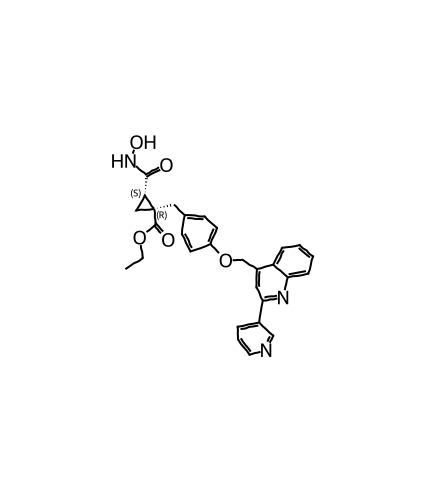 CCOC(=O)[C@@]1(Cc2ccc(OCc3cc(-c4cccnc4)nc4ccccc34)cc2)C[C@@H]1C(=O)NO